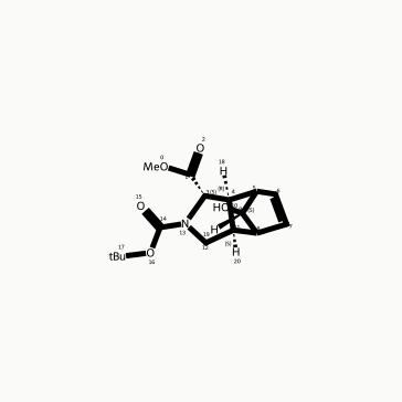 COC(=O)[C@@H]1[C@H]2C3C=CC([C@@H]3O)[C@H]2CN1C(=O)OC(C)(C)C